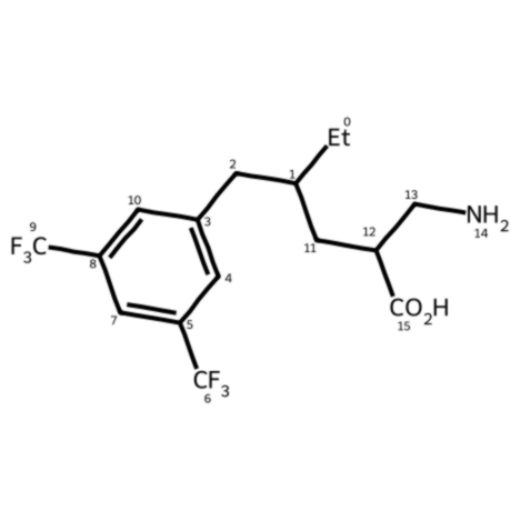 CCC(Cc1cc(C(F)(F)F)cc(C(F)(F)F)c1)CC(CN)C(=O)O